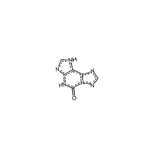 O=c1[nH]c2nc[nH]c2c2ncnn12